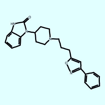 O=c1[nH]c2ccccc2n1C1CCN(CCCc2cc(-c3ccccc3)no2)CC1